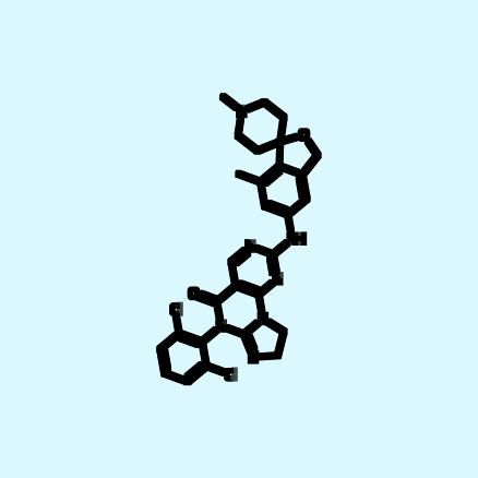 Cc1cc(Nc2ncc3c(n2)N2CCN=C2N(c2c(Cl)cccc2Cl)C3=O)cc2c1C1(CCN(C)CC1)OC2